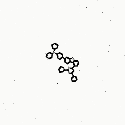 C1=CCC(c2nc(-c3ccccc3)cc(-c3cccc4sc5cc(-c6ccc(N(c7ccccc7)c7ccccc7)cc6)ccc5c34)n2)C=C1